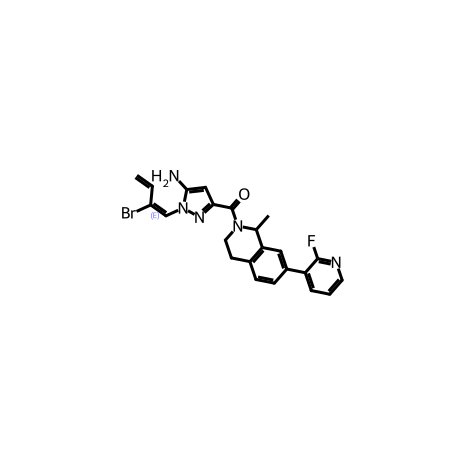 C=C/C(Br)=C\n1nc(C(=O)N2CCc3ccc(-c4cccnc4F)cc3C2C)cc1N